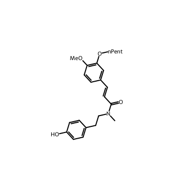 CCCCCOc1cc(/C=C/C(=O)N(C)CCc2ccc(O)cc2)ccc1OC